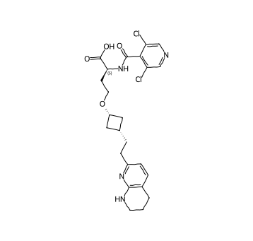 O=C(N[C@@H](CCO[C@H]1C[C@@H](CCc2ccc3c(n2)NCCC3)C1)C(=O)O)c1c(Cl)cncc1Cl